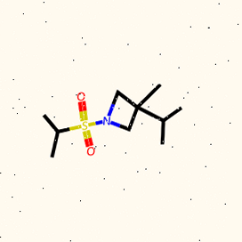 CC(C)C1(C)CN(S(=O)(=O)C(C)C)C1